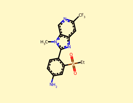 CCS(=O)(=O)c1cc(N)ccc1-c1nc2cc(C(F)(F)F)ncc2n1C